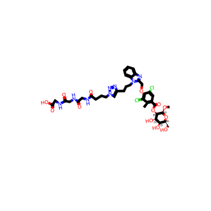 CO[C@H]1O[C@H](CO)[C@@H](O)[C@H](O)[C@H]1OC(=O)c1cc(Cl)c(OCc2nc3ccccc3n2CCCc2cn(CCCC(=O)NCC(=O)NCC(=O)NCC(=O)O)nn2)c(Cl)c1C